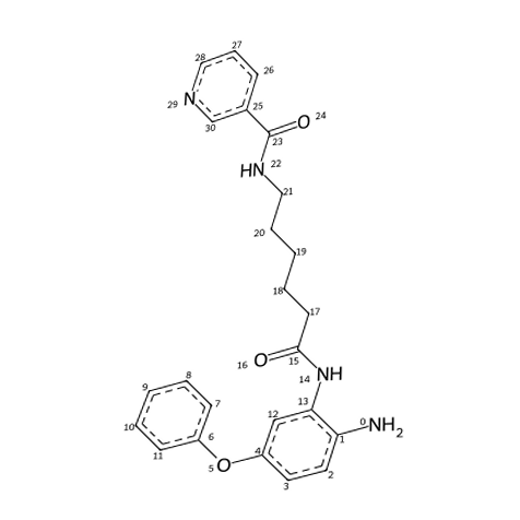 Nc1ccc(Oc2ccccc2)cc1NC(=O)CCCCCNC(=O)c1cccnc1